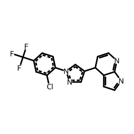 FC(F)(F)c1ccc(-n2cc(C3C=CN=C4N=CC=C43)cn2)c(Cl)c1